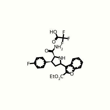 CCOC(=O)c1oc2ccccc2c1C1C[C@@H](c2ccc(F)cc2)[C@@H](C(N)=O)N1.O=C(O)C(F)(F)F